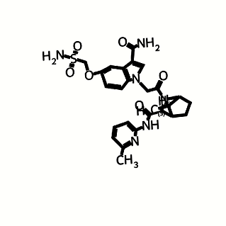 Cc1cccc(NC(=O)[C@@H]2C3CCC([C@H]3C)N2C(=O)Cn2cc(C(N)=O)c3cc(OCS(N)(=O)=O)ccc32)n1